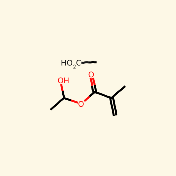 C=C(C)C(=O)OC(C)O.CC(=O)O